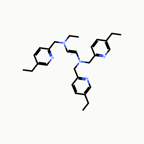 CCc1ccc(CN(/C=C/N(Cc2ccc(CC)cn2)Cc2ccc(CC)cn2)CC)nc1